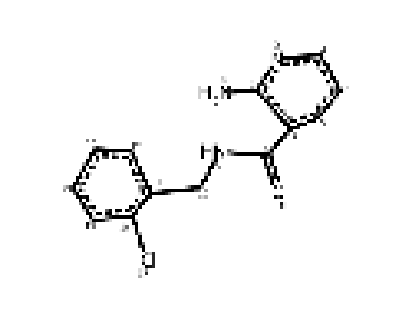 Nc1ncccc1C(=O)NCc1ccccc1Cl